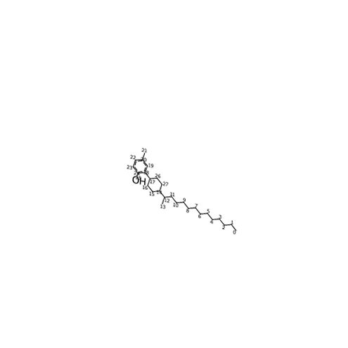 CCCCCCCCCCCCC(C)C1CCC(c2cc(C)ccc2O)CC1